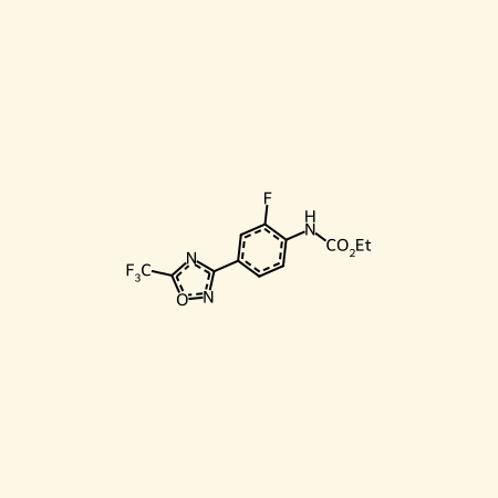 CCOC(=O)Nc1ccc(-c2noc(C(F)(F)F)n2)cc1F